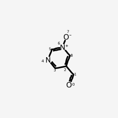 O=Cc1cnc[n+]([O-])c1